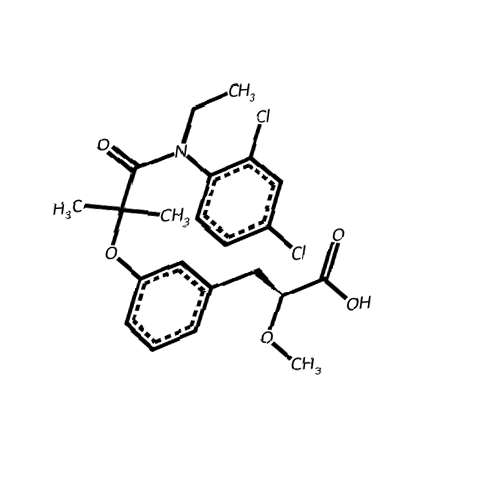 CCN(C(=O)C(C)(C)Oc1cccc(C[C@H](OC)C(=O)O)c1)c1ccc(Cl)cc1Cl